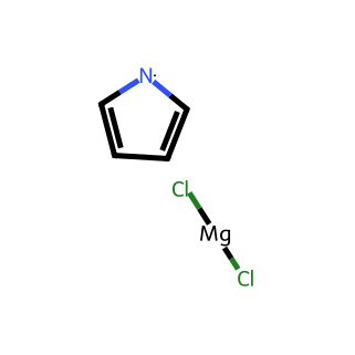 C1=C[N]C=C1.[Cl][Mg][Cl]